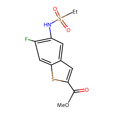 CCS(=O)(=O)Nc1cc2cc(C(=O)OC)sc2cc1F